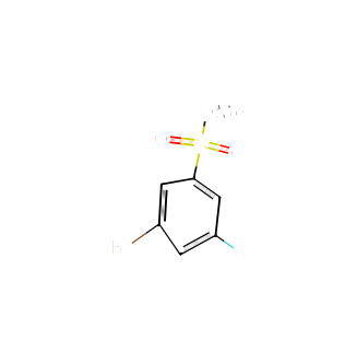 [CH2]OS(=O)(=O)c1cc(F)cc(Br)c1